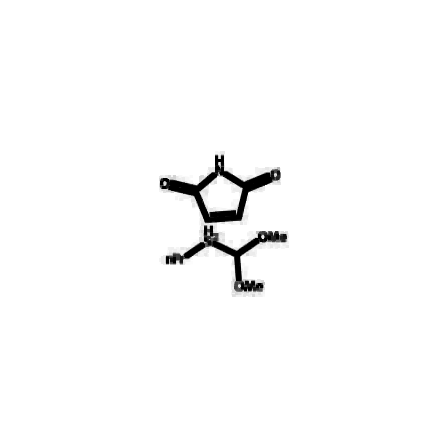 CCC[SiH2]C(OC)OC.O=C1C=CC(=O)N1